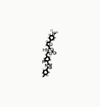 Cc1ccc(-c2nc(-c3ccc(CC(NC(=O)c4ccc(-c5ccc(N(C)C)cc5)o4)OC=O)cc3F)no2)cc1